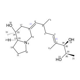 C/C(=C\CC(C)/C=C1\CN2CCC[C@H]2[C@@](C)(O)C1)[C@@H](O)[C@@H](C)O